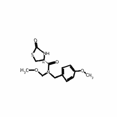 COCN(Cc1ccc(OC)cc1)C(=O)[C@@H]1CSC(=O)N1